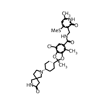 CSc1cc(C)[nH]c(=O)c1CNC(=O)c1cc(Cl)c2c(c1C)O[C@](C)([C@H]1CC[C@@H](N3CCC4(CNC(=O)C4)C3)CC1)O2